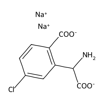 NC(C(=O)[O-])c1cc(Cl)ccc1C(=O)[O-].[Na+].[Na+]